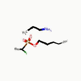 C=CCN.CCCCCCCCCCCCCCOS(=O)(=O)C(F)CCCCCC